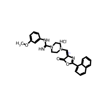 COc1cccc(NC(=N)N2CCN(/C=C3/N=C(c4cccc5ccccc45)OC3=O)CC2)c1.Cl